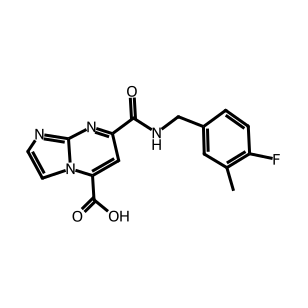 Cc1cc(CNC(=O)c2cc(C(=O)O)n3ccnc3n2)ccc1F